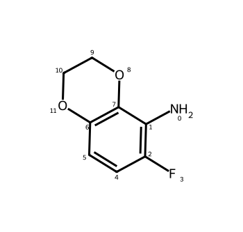 Nc1c(F)ccc2c1OCCO2